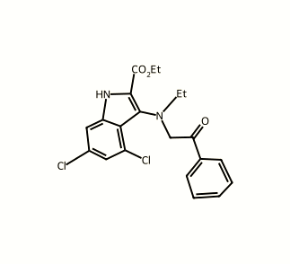 CCOC(=O)c1[nH]c2cc(Cl)cc(Cl)c2c1N(CC)CC(=O)c1ccccc1